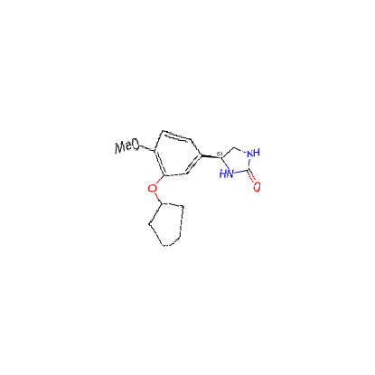 COc1ccc([C@H]2CNC(=O)N2)cc1OC1CCCC1